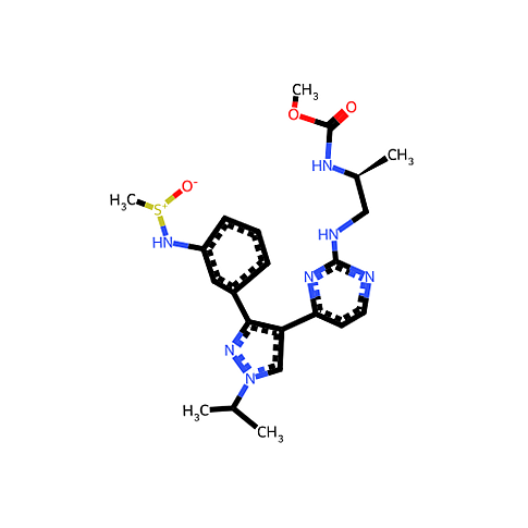 COC(=O)N[C@@H](C)CNc1nccc(-c2cn(C(C)C)nc2-c2cccc(N[S+](C)[O-])c2)n1